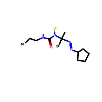 CCC(C)(N=NC1CCCC1)N(S)C(=O)NCCC#N